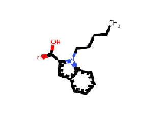 CCCCCn1c(C(=O)O)cc2ccccc21